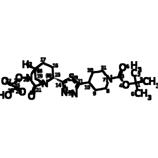 CC(C)(C)OC(=O)N1CCC(c2nnc([C@H]3CC[C@@H]4CN3C(=O)N4OS(=O)(=O)O)s2)CC1